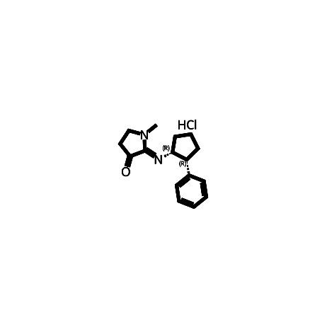 CN1CCC(=O)C1=N[C@@H]1CCC[C@@H]1c1ccccc1.Cl